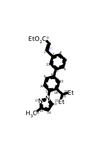 CCOC(=O)/C=C/c1cccc(-c2ccc(-n3ccc(C)n3)c(C(CC)CC)c2)c1